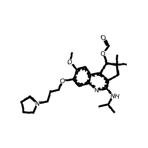 COc1cc2c3c(c(NC(C)C)nc2cc1OCCCN1CCCC1)CC(C)(C)C3OC=O